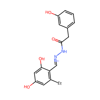 CCc1cc(O)cc(O)c1/C=N/NC(=O)Cc1cccc(O)c1